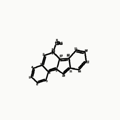 CC(C)(C)n1cc2ccccc2c2cc3ccccc3c1-2